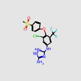 CS(=O)(=O)c1ccc(Oc2c(Cl)cc(NC3N=C(N)NN3)cc2C(F)(F)F)cc1